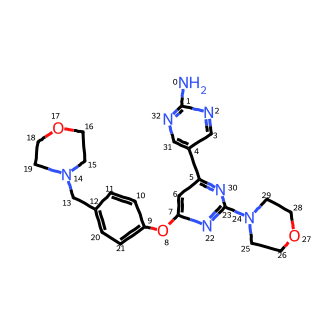 Nc1ncc(-c2cc(Oc3ccc(CN4CCOCC4)cc3)nc(N3CCOCC3)n2)cn1